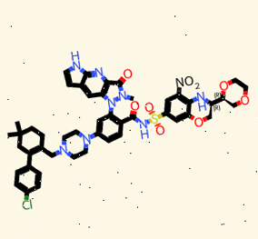 Cn1c(=O)c2nc3[nH]ccc3cc2n1-c1cc(N2CCN(CC3=C(c4ccc(Cl)cc4)CC(C)(C)CC3)CC2)ccc1C(=O)NS(=O)(=O)c1cc2c(c([N+](=O)[O-])c1)N[C@@H]([C@@H]1COCCO1)CO2